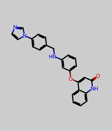 O=c1cc(Oc2cccc(NCc3ccc(-n4ccnc4)cc3)c2)c2ccccc2[nH]1